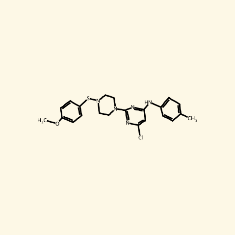 COc1ccc(SN2CCN(c3nc(Cl)cc(Nc4ccc(C)cc4)n3)CC2)cc1